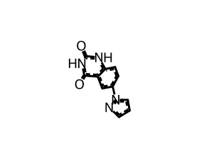 O=c1[nH]c(=O)c2cc(-n3cccn3)ccc2[nH]1